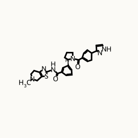 CN1CCc2nc(NC(=O)c3cccc([C@H]4CCCN4C(=O)C4=CCC(c5cc[nH]n5)C=C4)c3)sc2C1